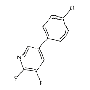 CCc1ccc(-c2cnc(F)c(F)c2)cc1